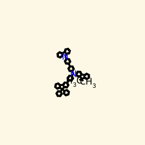 CC1(C)c2ccccc2-c2ccc(N(c3ccc(-c4ccc(-n5c6ccccc6c6ccccc65)cc4)cc3)c3ccc(-c4ccc5c(c4)-c4ccccc4C5(c4ccccc4)c4ccccc4)cc3)cc21